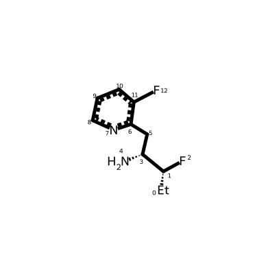 CC[C@@H](F)[C@H](N)Cc1ncccc1F